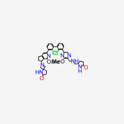 COc1nc(-c2cccc(-c3cccc(-c4cc5c(c(OC)n4)C(N4CC6(CCC(=O)N6)C4)CC5)c3Cl)c2Cl)cnc1CNCC1CCC(=O)N1